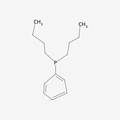 CCCCP(CCCC)c1cc[c]cc1